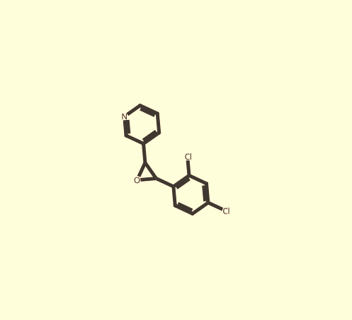 Clc1ccc(C2OC2c2cccnc2)c(Cl)c1